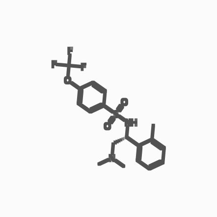 Cc1ccccc1[C@H](CN(C)C)NS(=O)(=O)c1ccc(OC(F)(F)F)cc1